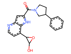 O=C(c1cc2nccc(C3OC3O)c2[nH]1)N1CCC(c2ccccc2)C1